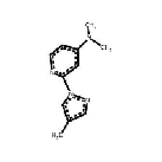 Cc1cnn(-c2cc(N(C)C)ccn2)c1